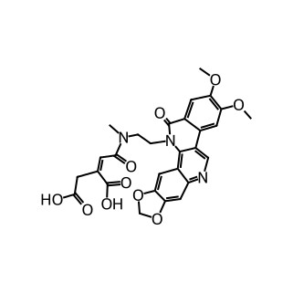 COc1cc2c(=O)n(CCN(C)C(=O)/C=C(/CC(=O)O)C(=O)O)c3c4cc5c(cc4ncc3c2cc1OC)OCO5